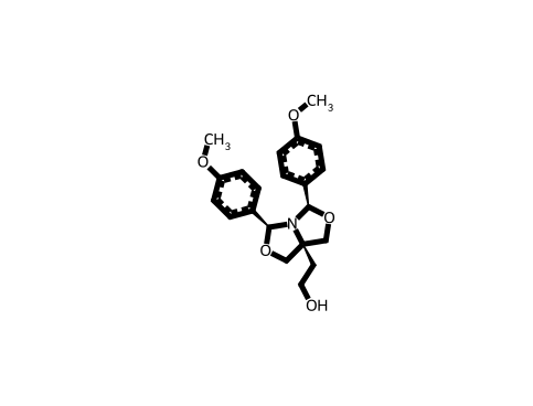 COc1ccc([C@H]2OC[C@]3(CCO)CO[C@@H](c4ccc(OC)cc4)N23)cc1